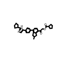 CC1Cc2c(C(=O)COC(=O)C3CCCC3)ccc(-c3ccc(-c4cnc(C5CCCC5)[nH]4)cc3)c2C1